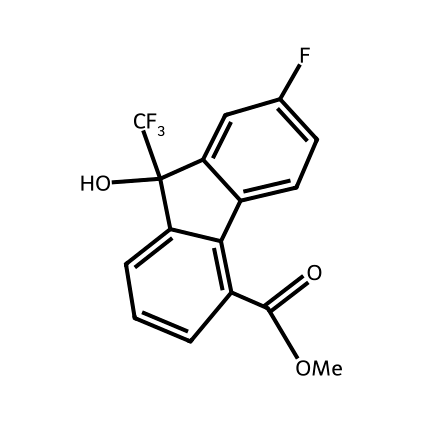 COC(=O)c1cccc2c1-c1ccc(F)cc1C2(O)C(F)(F)F